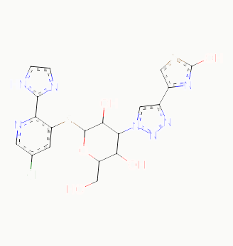 OCC1OC(Sc2cc(Cl)cnc2-c2ncc[nH]2)C(O)C(n2cc(-c3csc(O)n3)nn2)C1O